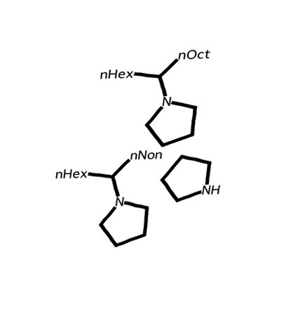 C1CCNC1.CCCCCCCCC(CCCCCC)N1CCCC1.CCCCCCCCCC(CCCCCC)N1CCCC1